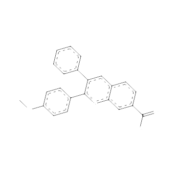 COc1ccc(-c2nc3cc(C(=O)O)ccc3cc2-c2ccccc2)cc1